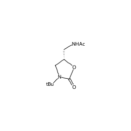 CC(=O)NC[C@H]1CN(C(C)(C)C)C(=O)O1